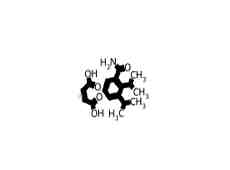 CC(C)c1cccc(C(N)=O)c1C(C)C.O=C(O)/C=C\C(=O)O